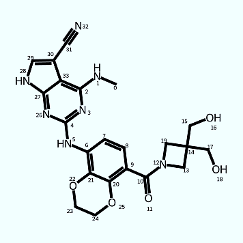 CNc1nc(Nc2ccc(C(=O)N3CC(CO)(CO)C3)c3c2OCCO3)nc2[nH]cc(C#N)c12